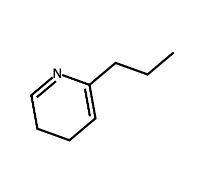 CCCC1=CCCC=N1